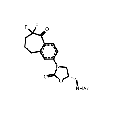 CC(=O)NC[C@H]1CN(c2ccc3c(c2)CCCC(F)(F)C3=O)C(=O)O1